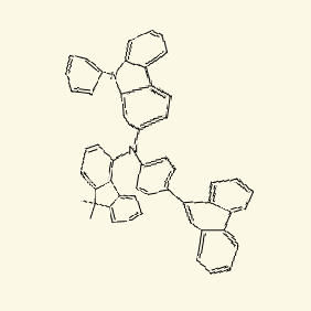 CC1(C)c2ccccc2-c2c(N(c3ccc(-c4cc5ccccc5c5ccccc45)cc3)c3ccc4c5ccccc5n(-c5ccccc5)c4c3)cccc21